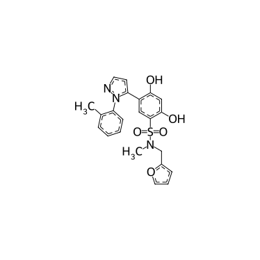 Cc1ccccc1-n1nccc1-c1cc(S(=O)(=O)N(C)Cc2ccco2)c(O)cc1O